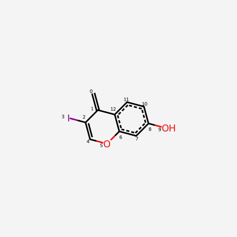 C=C1C(I)=COc2cc(O)ccc21